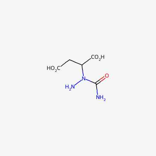 NC(=O)N(N)C(CC(=O)O)C(=O)O